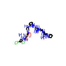 N[C@@H](CCC(=O)N1CCC(Nc2nc(NCc3cn(CCCNCCCNC4CCCCC4)nn3)nc3ccccc23)CC1)C(=O)NNc1ccc(Cl)cc1Cl